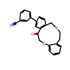 N#Cc1cccc(-c2ccc3c(c2)C(=O)CCc2ccccc2CCCC3)c1